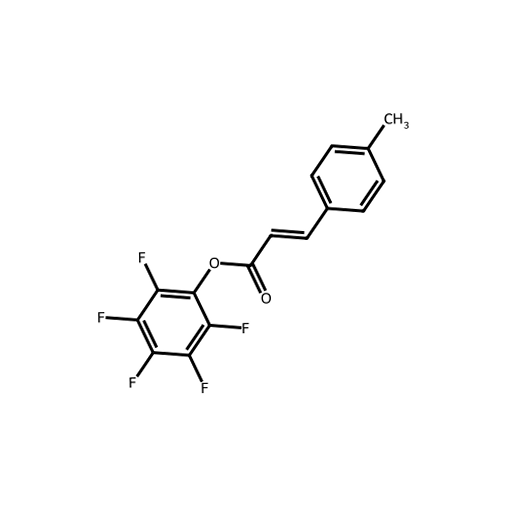 Cc1ccc(/C=C/C(=O)Oc2c(F)c(F)c(F)c(F)c2F)cc1